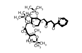 C[C@@H]([C@@H]1O[C@H]1C[C@@H]1OC[C@H](CC(=O)CC(=O)c2ccccn2)[C@@H](O[Si](C)(C)C)[C@@H]1O[Si](C)(C)C)[C@H](C)O[Si](C)(C)C